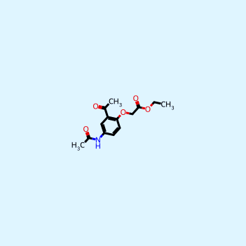 CCOC(=O)COc1ccc(NC(C)=O)cc1C(C)=O